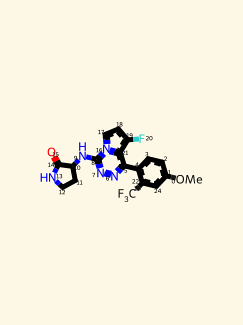 COc1ccc(-c2nnc(NC3CCNC3=O)n3ccc(F)c23)c(C(F)(F)F)c1